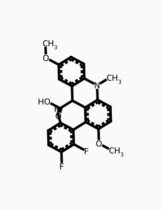 COc1ccc2c(c1)C(C(=O)O)c1c(ccc(OC)c1-c1c(F)ccc(F)c1F)N2C